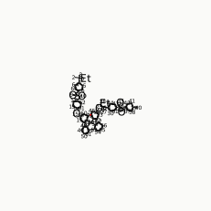 CCC(C)(C)c1ccc(S(=O)(=O)c2ccc(Oc3ccc(C4(c5ccc(OC(C)(CC)c6ccc(S(=O)(=O)c7ccc(C)cc7)cc6)cc5)c5ccccc5-c5ccccc54)cc3)cc2)cc1